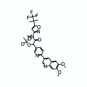 COc1cc2cc(-c3ccc(C(OS(C)(=O)=O)C(=O)Nc4cc(C(C)(C)C(F)(F)F)on4)cn3)cnc2cc1OC